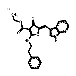 CCOC(=O)C1=C(NCCc2ccccc2)OC(=Cc2c[nH]c3ncccc23)C1=O.Cl